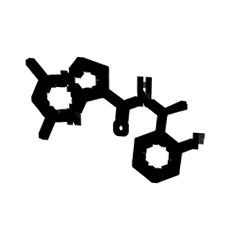 Cc1cc(C)n2ccc(C(=O)N[C@@H](C)c3ccccc3F)c2n1